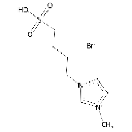 C[n+]1ccn(CCCCS(=O)(=O)O)c1.[Br-]